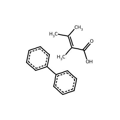 CC(C)=C(C)C(=O)O.c1ccc(-c2ccccc2)cc1